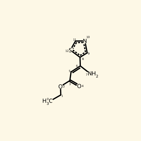 CCOC(=O)C=C(N)c1cncs1